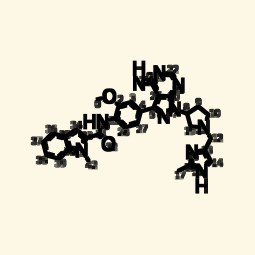 COc1cc(-c2nn(C3CCN(Cc4c[nH]c(C)n4)C3)c3ncnc(N)c23)ccc1NC(=O)c1cc2ccccc2n1C